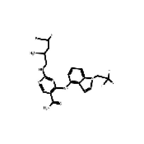 NC(=O)c1cnc(NCC(N)CC(F)F)nc1Nc1cccc2c1ccn2CC(F)(F)F